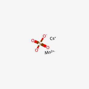 O=S(=O)([O-])[O-].[Cs+].[Mn+2]